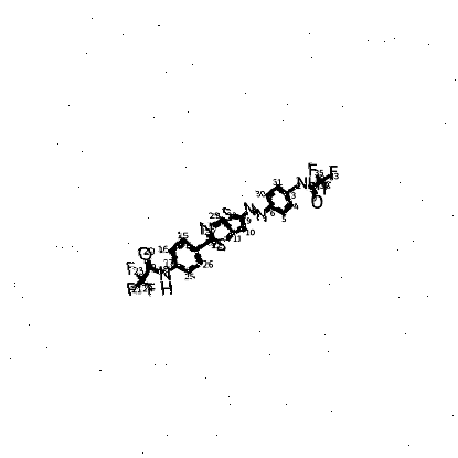 O=C(Nc1ccc(N=Nc2cc3sc(-c4ccc(NC(=O)C(F)(F)F)cc4)nc3s2)cc1)C(F)(F)F